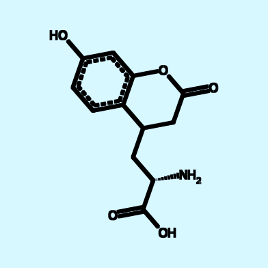 N[C@@H](CC1CC(=O)Oc2cc(O)ccc21)C(=O)O